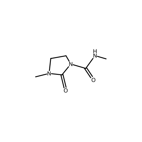 CNC(=O)N1CCN(C)C1=O